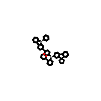 c1ccc(-c2ccccc2N(c2ccc(-c3ccc4c5ccccc5n(-c5ccccc5)c4c3)cc2)c2ccc3c(c2)C2(CCCC2)c2ccccc2-3)cc1